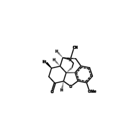 CC[C@@H]1CC(=O)[C@@H]2Oc3c(OC)ccc4c3[C@@]23CCN(C#N)[C@H](C4)[C@H]13